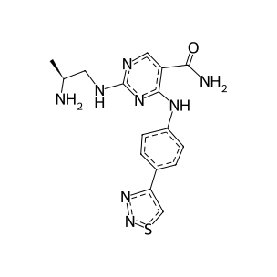 C[C@H](N)CNc1ncc(C(N)=O)c(Nc2ccc(-c3csnn3)cc2)n1